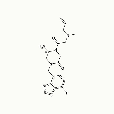 C=CCN(C)CC(=O)N1CC(=O)N(Cc2ccc(F)c3scnc23)C[C@@H]1N